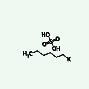 CCCCC[CH2][K].O=S(=O)(O)O